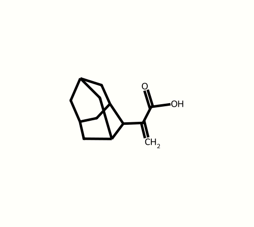 C=C(C(=O)O)C1C2CC3CC(C2)CC1C3